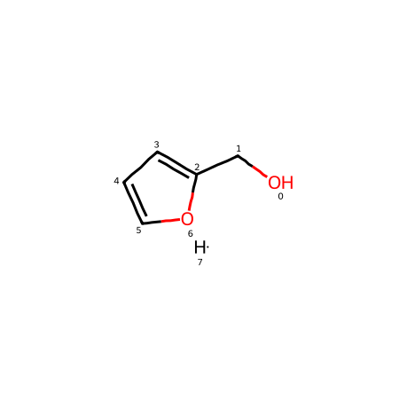 OCc1ccco1.[H]